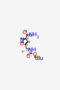 C[C@@H](NC(=O)OC(C)(C)C)c1cc(C(N)=O)no1